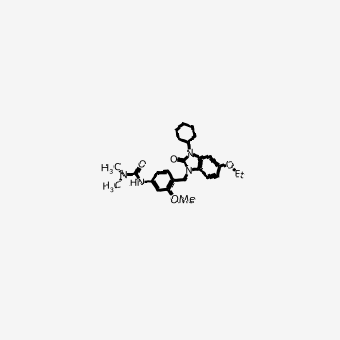 CCOc1ccc2c(c1)n(C1CCCCC1)c(=O)n2Cc1ccc(NC(=O)N(C)C)cc1OC